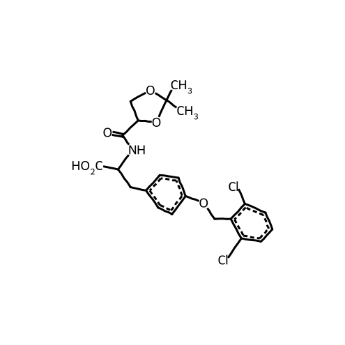 CC1(C)OCC(C(=O)NC(Cc2ccc(OCc3c(Cl)cccc3Cl)cc2)C(=O)O)O1